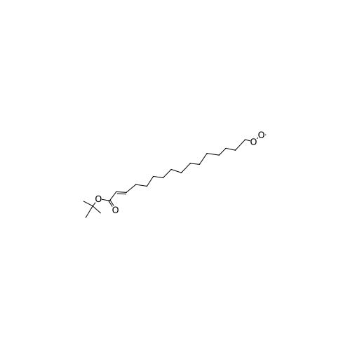 CC(C)(C)OC(=O)C=CCCCCCCCCCCCCCO[O]